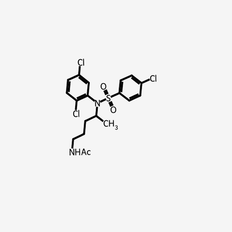 CC(=O)NCCCC(C)N(c1cc(Cl)ccc1Cl)S(=O)(=O)c1ccc(Cl)cc1